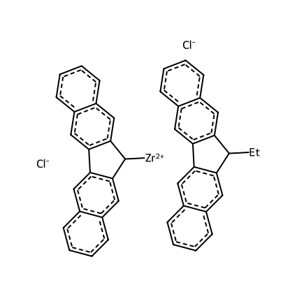 CCC1c2cc3ccccc3cc2-c2cc3ccccc3cc21.[Cl-].[Cl-].[Zr+2][CH]1c2cc3ccccc3cc2-c2cc3ccccc3cc21